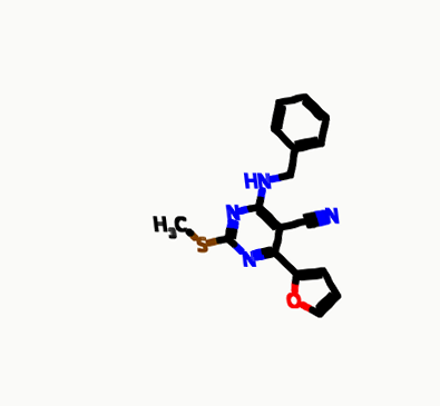 CSc1nc(NCc2ccccc2)c(C#N)c(-c2ccco2)n1